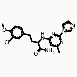 COc1ccc(CCC(Nc2cc(C)nc(-n3ccnc3)n2)C(N)=O)cc1Cl